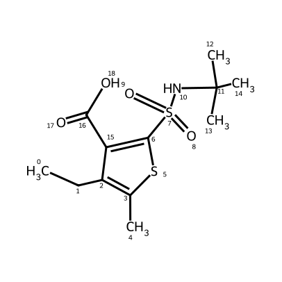 CCc1c(C)sc(S(=O)(=O)NC(C)(C)C)c1C(=O)O